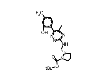 Cc1nc(NC[C@@H]2CCCN2C(=O)OC(C)(C)C)nnc1-c1ccc(C(F)(F)F)cc1O